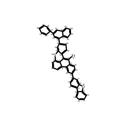 CCc1c2c3c(cccc3c3cc(-c4ccc5c(c4)oc4ccccc45)ccc13)Sc1cc(-c3cc(-c4ccccc4)cc4ccccc34)ccc1-2